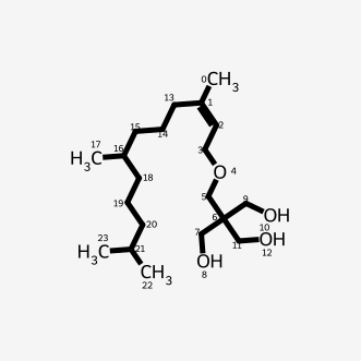 CC(=CCOCC(CO)(CO)CO)CCCC(C)CCCC(C)C